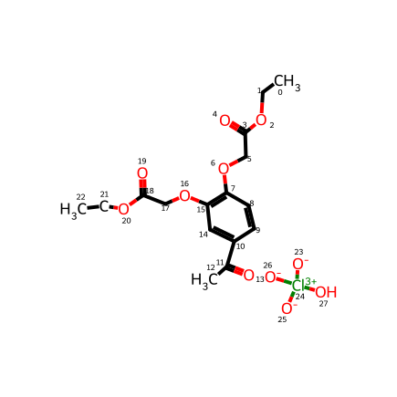 CCOC(=O)COc1ccc(C(C)=O)cc1OCC(=O)OCC.[O-][Cl+3]([O-])([O-])O